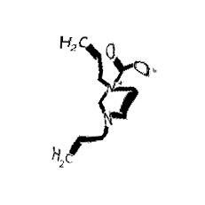 C=CCN1C=C[N+](CC=C)(C(=O)[O-])C1